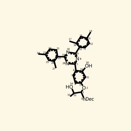 CCCCCCCCCCC(Oc1ccc(-c2nc(-c3ccc(C)cc3C)nc(-c3ccc(C)cc3C)n2)c(O)c1)C(C)O